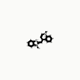 CN1C=CC(C=C2Sc3ccccc3N2C)c2ccccc21